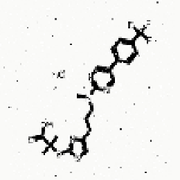 CN(CCCc1csc(SC(C)(C)C(=O)O)n1)c1ncc(-c2ccc(C(F)(F)F)cc2)cn1.Cl